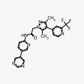 Cc1nn(CC(=O)Nc2ccc(-c3cncnc3)cn2)c(C)c1-c1ccnc(C(F)(F)F)c1